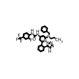 CCCN(Cc1ccccc1)c1cc(NC(=O)Nc2ccc(C(F)(F)F)cc2F)cc(-c2ccccc2-c2nnn[nH]2)n1